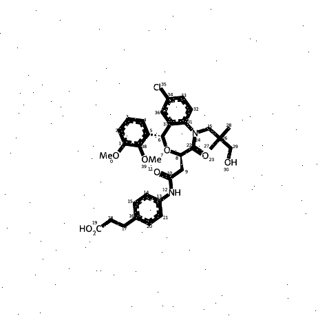 COc1cccc([C@H]2O[C@H](CC(=O)Nc3ccc(CCC(=O)O)cc3)C(=O)N(CC(C)(C)CO)c3ccc(Cl)cc32)c1OC